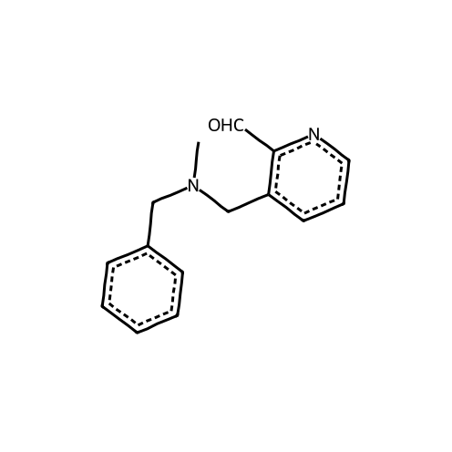 CN(Cc1ccccc1)Cc1cccnc1C=O